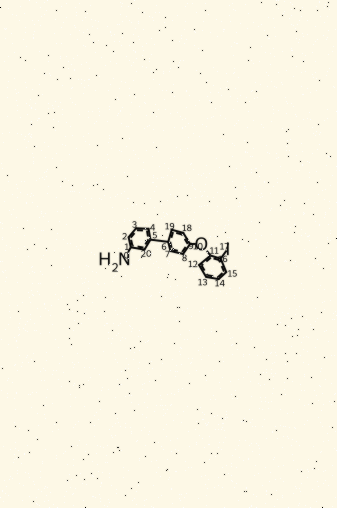 Nc1cccc(-c2ccc(Oc3ccccc3I)cc2)c1